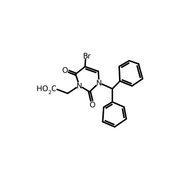 O=C(O)Cn1c(=O)c(Br)cn(C(c2ccccc2)c2ccccc2)c1=O